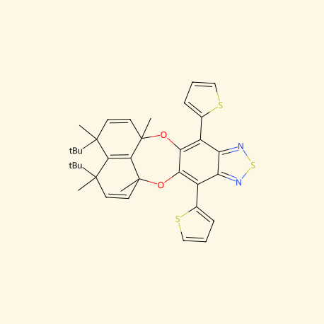 CC12C=CC(C)(C(C)(C)C)C3=C1C(C)(C=CC3(C)C(C)(C)C)Oc1c(c(-c3cccs3)c3nsnc3c1-c1cccs1)O2